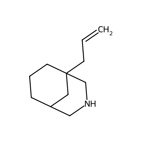 C=CCC12CCCC(CNC1)C2